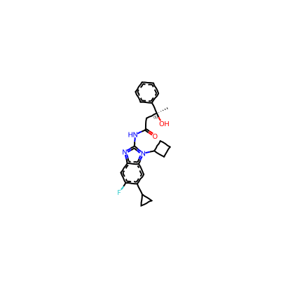 C[C@](O)(CC(=O)Nc1nc2cc(F)c(C3CC3)cc2n1C1CCC1)c1ccccc1